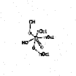 CCCCCCCC[O][Ti](=[O])([OH])([CH2]CCCCCCC)([CH2]CCCCCCC)[O]O